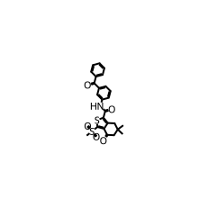 CC1(C)CC(=O)c2c(S(C)(=O)=O)sc(C(=O)Nc3cccc(C(=O)c4ccccc4)c3)c2C1